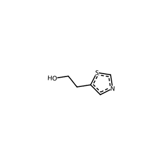 OCCc1cncs1